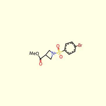 COC(=O)C1CN(S(=O)(=O)c2ccc(Br)cc2)C1